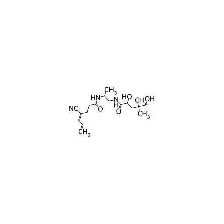 C=C/C=C(/C#N)CCC(=O)NC(C)CNC(=O)C(O)CC(C)(C)CO